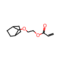 C=CC(=O)OCCOC1C2CCC1CC2